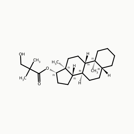 CC(C)(CO)C(=O)O[C@H]1CC[C@H]2[C@@H]3CC[C@H]4CCCC[C@]4(C)[C@H]3CC[C@]12C